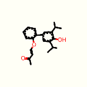 CC(=O)C=COc1ccccc1-c1cc(C(C)C)c(O)c(C(C)C)c1